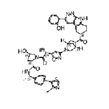 Cc1ncsc1-c1ccc([C@H](C)NC(=O)[C@@H]2C[C@@H](O)CN2C(=O)[C@@H](c2cc(N3C[C@@H]4C[C@H]3CC4C(=O)[C@@H]3CCc4[nH]c5nnc(-c6ccccc6O)cc5c4C3)no2)C(C)C)cc1